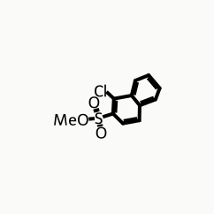 [CH2]OS(=O)(=O)c1ccc2ccccc2c1Cl